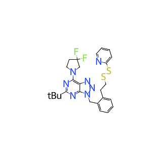 CC(C)(C)c1nc(N2CCC(F)(F)C2)c2nnn(Cc3ccccc3CCSSc3ccccn3)c2n1